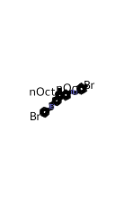 CCCCCCCCc1c(CCCCCCCC)c2cc(/C=C/c3ccc(Br)cc3)ccc2c2ccc(/C=C/c3ccc(Br)cc3)cc12